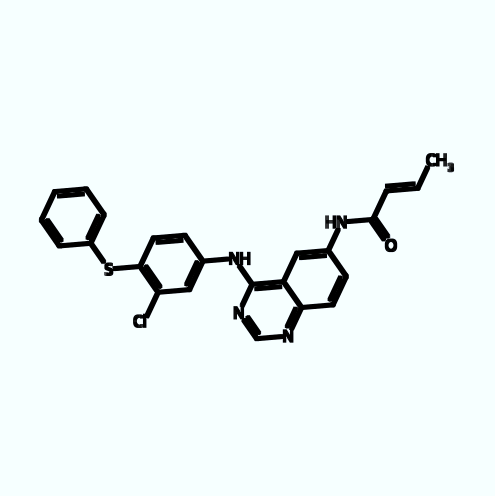 CC=CC(=O)Nc1ccc2ncnc(Nc3ccc(Sc4ccccc4)c(Cl)c3)c2c1